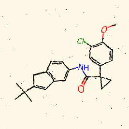 COc1ccc(C2(C(=O)Nc3ccc4c(c3)C=C(C(C)(C)C)C4)CC2)cc1Cl